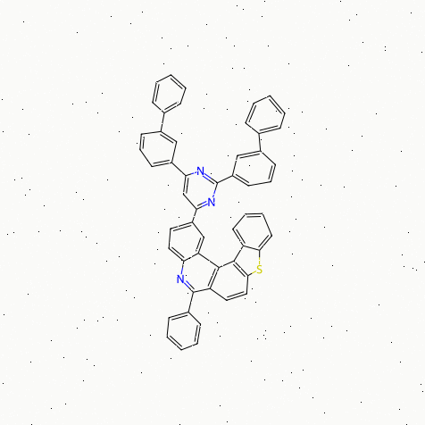 c1ccc(-c2cccc(-c3cc(-c4ccc5nc(-c6ccccc6)c6ccc7sc8ccccc8c7c6c5c4)nc(-c4cccc(-c5ccccc5)c4)n3)c2)cc1